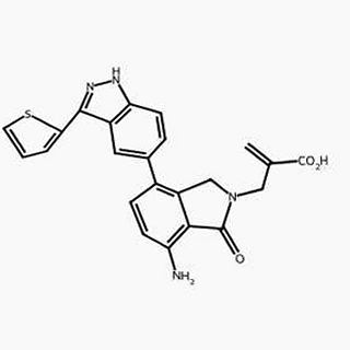 C=C(CN1Cc2c(-c3ccc4[nH]nc(-c5cccs5)c4c3)ccc(N)c2C1=O)C(=O)O